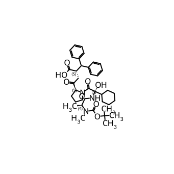 C[C@@H](C(=O)N[C@@](O)(C(=O)N1CCC[C@H]1C(=O)C[C@H](C(=O)O)C(c1ccccc1)c1ccccc1)C1CCCCC1)N(C)C(=O)OC(C)(C)C